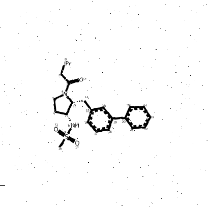 CC(C)CC(=O)N1CC[C@@H](NS(C)(=O)=O)[C@H]1Cc1cccc(-c2ccccc2)c1